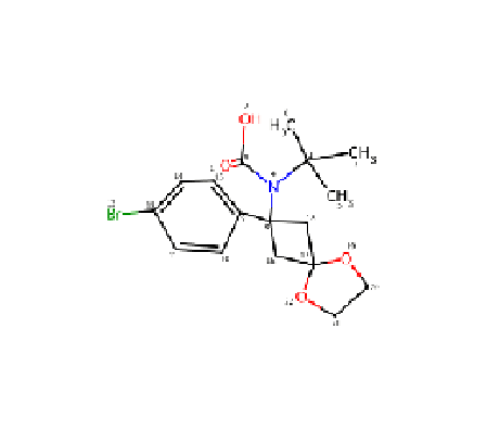 CC(C)(C)N(C(=O)O)C1(c2ccc(Br)cc2)CC2(C1)OCCO2